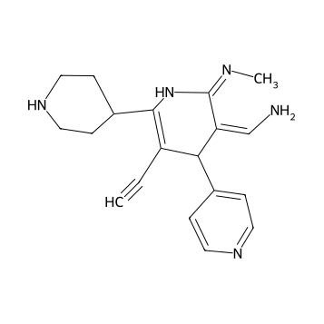 C#CC1=C(C2CCNCC2)NC(=N/C)/C(=C\N)C1c1ccncc1